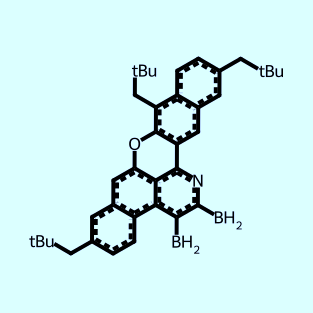 Bc1nc2c3c(cc4cc(CC(C)(C)C)ccc4c3c1B)Oc1c-2cc2cc(CC(C)(C)C)ccc2c1CC(C)(C)C